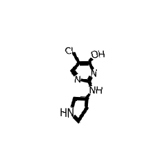 Oc1nc(NC2CCNC2)ncc1Cl